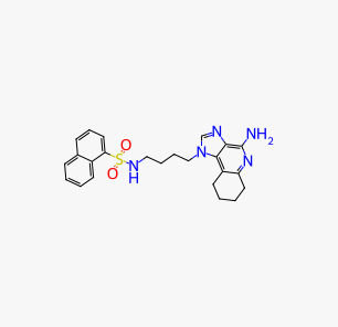 Nc1nc2c(c3c1ncn3CCCCNS(=O)(=O)c1cccc3ccccc13)CCCC2